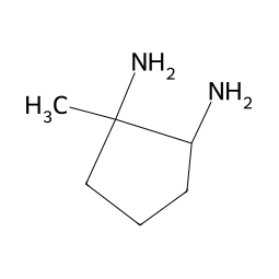 CC1(N)CCCC1N